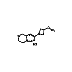 COC1CN(c2ccc3c(c2)CNCC3)C1.Cl